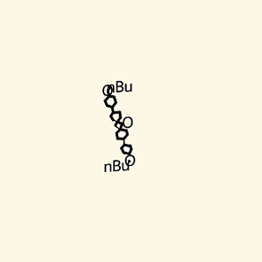 CCCCOC1CCC(C2CC[C@]3(CC2)C[C@@]2(CC[C@H](C4CCC(OCCCC)CC4)CC2)C3=O)CC1